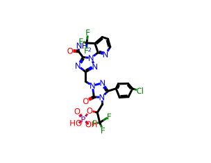 NC(=O)c1nc(Cn2nc(-c3ccc(Cl)cc3)n(CC(OP(=O)(O)O)C(F)(F)F)c2=O)nn1-c1ncccc1C(F)(F)F